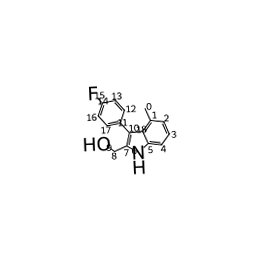 Cc1cccc2[nH]c(CO)c(-c3ccc(F)cc3)c12